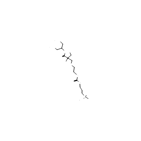 CC(CO)(CSCCNC(=O)NCCC[Si](C)(C=O)C=O)C(=O)OC(CS(=O)(=O)O)CS(=O)(=O)O